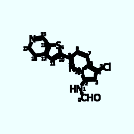 O=CNc1cc(Cl)c2ccc(-c3cc4c(s3)C=NCC4)nn12